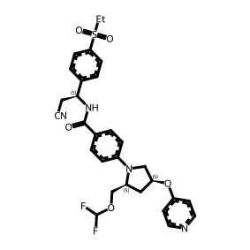 CCS(=O)(=O)c1ccc([C@H](CC#N)NC(=O)c2ccc(N3C[C@@H](Oc4ccncc4)C[C@H]3COC(F)F)cc2)cc1